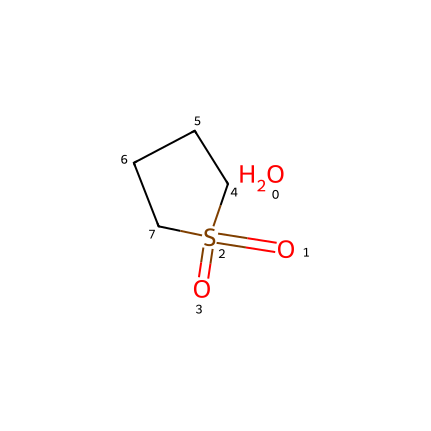 O.O=S1(=O)CCCC1